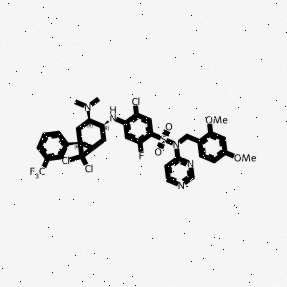 COc1ccc(CN(c2ccncn2)S(=O)(=O)c2cc(Cl)c(N[C@@H]3CC4C(Cl)(Cl)[C@]4(c4cccc(C(F)(F)F)c4)C[C@H]3N(C)C)cc2F)c(OC)c1